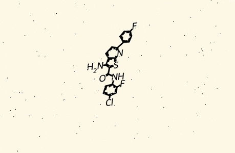 Nc1c(C(=O)Nc2ccc(Cl)cc2F)sc2nc(-c3ccc(F)cc3)ccc12